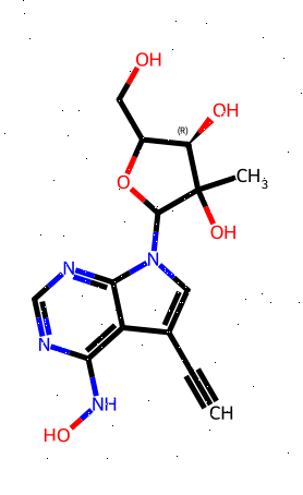 C#Cc1cn(C2OC(CO)[C@@H](O)C2(C)O)c2ncnc(NO)c12